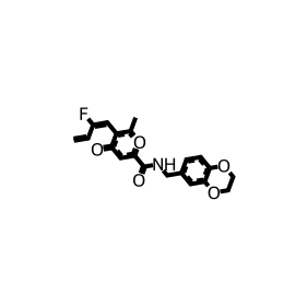 C=C/C(F)=C\c1c(C)oc(C(=O)NCc2ccc3c(c2)OCCO3)cc1=O